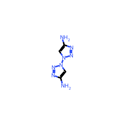 Nc1cn(-n2cc(N)nn2)nn1